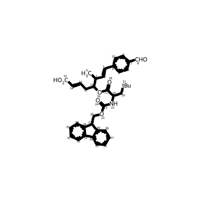 CC(C=Cc1ccc(C=O)cc1)C(CC=CC(=O)O)OC(=O)C(CC(C)(C)C)NC(=O)OCC1c2ccccc2-c2ccccc21